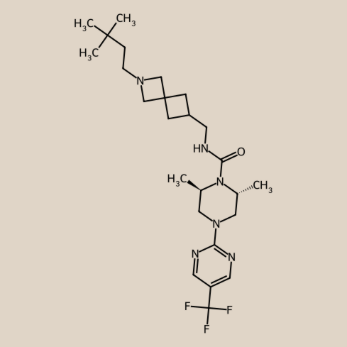 C[C@@H]1CN(c2ncc(C(F)(F)F)cn2)C[C@@H](C)N1C(=O)NCC1CC2(C1)CN(CCC(C)(C)C)C2